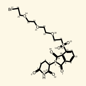 O=C1CCC(N2C(=O)c3cccc(S(=O)(=O)CCOCCOCCOCCBr)c3C2=O)C(=O)N1